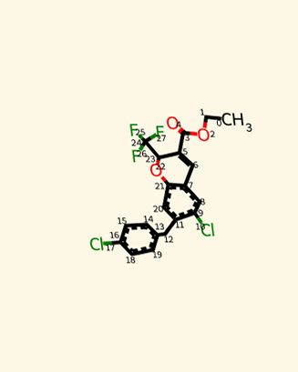 CCOC(=O)C1=Cc2cc(Cl)c(Cc3ccc(Cl)cc3)cc2OC1C(F)(F)F